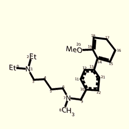 CCN(CC)CCCCN(C)Cc1ccc(C2=C[CH]CC=C2OC)cc1